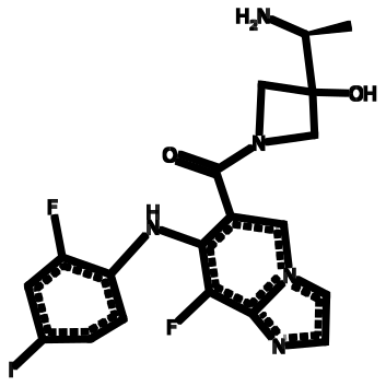 C[C@H](N)C1(O)CN(C(=O)c2cn3ccnc3c(F)c2Nc2ccc(I)cc2F)C1